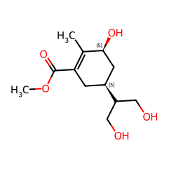 COC(=O)C1=C(C)[C@@H](O)C[C@@H](C(CO)CO)C1